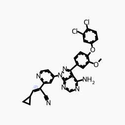 COc1cc(-c2nn(-c3ccnc(/C(C#N)=C/C4CC4)c3)c3ncnc(N)c23)ccc1Oc1ccc(Cl)c(Cl)c1